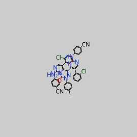 Cc1ccc(N(N=C(c2nc(Nc3ccc(C#N)cc3)ncc2-c2ccccc2Cl)c2nc(Nc3ccc(C#N)cc3)ncc2-c2ccccc2Cl)C(N)=O)cc1